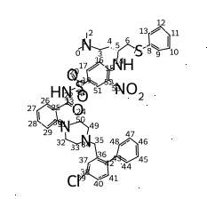 CN(C)CC[C@H](CSc1ccccc1)Nc1ccc(S(=O)(=O)NC(=O)c2ccccc2N2CCN(Cc3cc(Cl)ccc3-c3ccccc3)CC2)cc1[N+](=O)[O-]